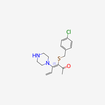 C=C/C(=C(/SCc1ccc(Cl)cc1)C(C)=O)N1CCNCC1